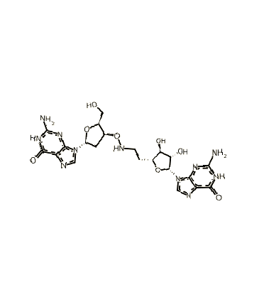 Nc1nc2c(ncn2[C@@H]2O[C@H](CCNO[C@H]3C[C@H](n4cnc5c(=O)[nH]c(N)nc54)O[C@H]3CO)[C@@H](O)[C@@H]2O)c(=O)[nH]1